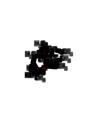 CCCCOCO[C@H]1[C@H](C)OC(O[C@@H]2/C(C)=C/C[C@@H]3C[C@@H](C[C@]4(C=C[C@H](C)[C@@H](C(C)CC)O4)O3)OC(=O)[C@@H]3C=C(C)[C@@H](O)[C@H]4OC/C(=C\C=C\C2C)[C@]43O)C[C@@H]1OC